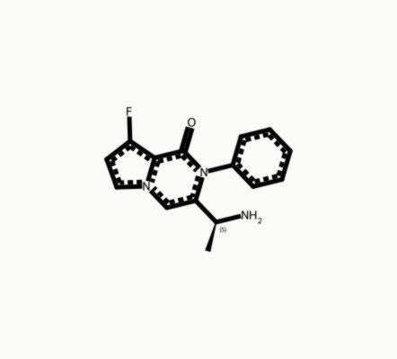 C[C@H](N)c1cn2ccc(F)c2c(=O)n1-c1ccccc1